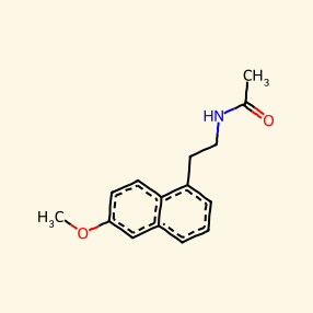 COc1ccc2c(CCNC(C)=O)cccc2c1